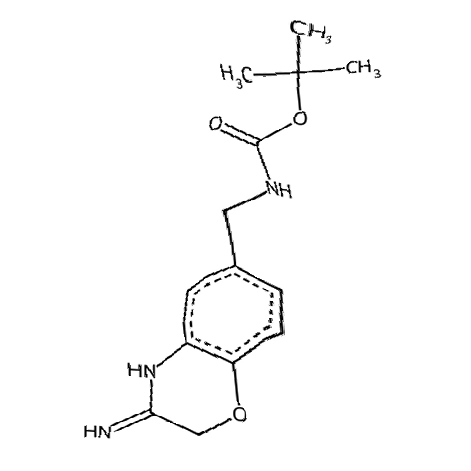 CC(C)(C)OC(=O)NCc1ccc2c(c1)NC(=N)CO2